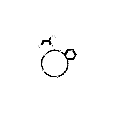 C=CC(N)=O.c1ccc2c(c1)OCCOCCOCCOCCO2